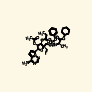 CCC(=O)O[C@H]1[C@@H](OC(C)=O)[C@H](c2ccc3c(N)ncnn23)O[C@]1(CF)COP(=O)(N[C@@H](C)C(=O)OC1CCCCC1)Oc1ccccc1